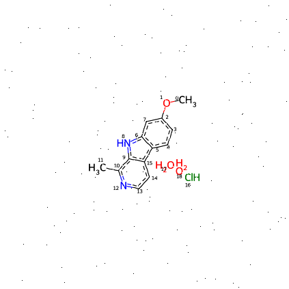 COc1ccc2c(c1)[nH]c1c(C)nccc12.Cl.O.O